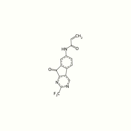 C=CC(=O)Nc1ccc2c(c1)C(=O)c1nc(C(F)(F)F)ncc1-2